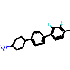 Cc1ccc(-c2ccc(C3CCC(N)CC3)cc2)c(F)c1F